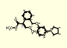 CO/C=C(/C(=O)OC)c1ccccc1COc1ccnc(N2CCCC2)c1